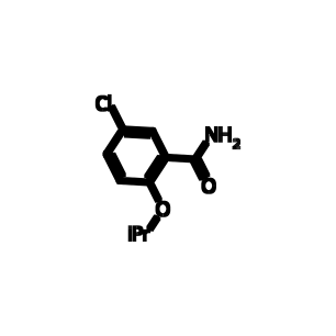 CC(C)Oc1ccc(Cl)cc1C(N)=O